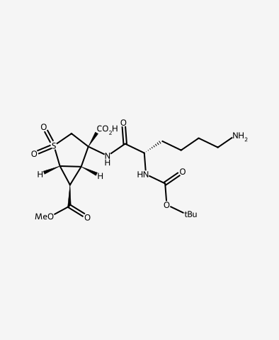 COC(=O)[C@@H]1[C@@H]2[C@H]1S(=O)(=O)C[C@@]2(NC(=O)[C@H](CCCCN)NC(=O)OC(C)(C)C)C(=O)O